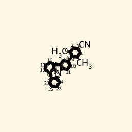 Cc1cc(C#N)cc(C)c1-c1ccc2c(c1)c1cccc3c4ccccc4n2c31